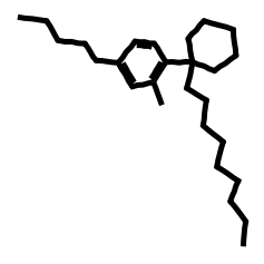 CCCCCCCCCC1(c2ccc(CCCCC)cc2C)CCCCC1